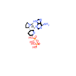 CN1CCC[C@H]1c1cccnc1.Nc1ncnc2[nH]cnc12.O=P(O)(O)OP(=O)(O)O